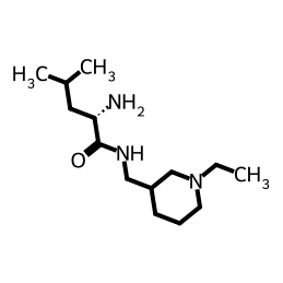 CCN1CCCC(CNC(=O)[C@@H](N)CC(C)C)C1